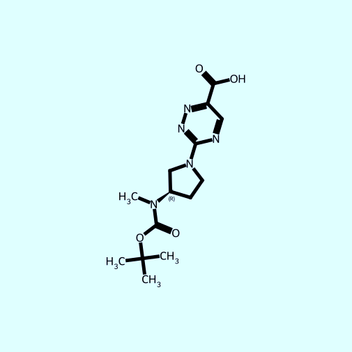 CN(C(=O)OC(C)(C)C)[C@@H]1CCN(c2ncc(C(=O)O)nn2)C1